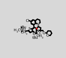 CC(C)(C)OC(=O)N1C[C@@H](N2CCCc3cc(Cl)cc(-c4ccnc5cc(CO[Si](C)(C)C(C)(C)C)sc45)c32)C[C@@]1(C)CO[C@H]1CCCCO1